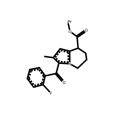 Cc1cc2n(c1C(=O)c1ccccc1F)CCCC2C(=O)OC(C)C